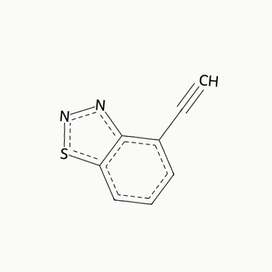 C#Cc1cccc2snnc12